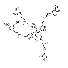 C/C=C(CCC(=O)/C=C/c1ccc(O)c(O)c1)\N=N/CCC(Cn1cc(CCC(=O)/C=C/c2ccc(O)c(O)c2)nn1)(Cn1cc(CCC(=O)/C=C/c2ccc(O)c(O)c2)nn1)Cn1cc(CCC(=O)/C=C/c2ccc(O)c(O)c2)nn1